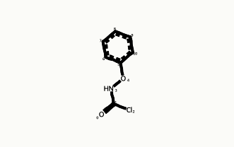 O=C(Cl)NOc1ccccc1